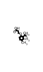 Cc1ccc(OCCC(=O)O)c(C(C)C)c1